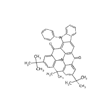 CC(C)(C)c1cc2c3c(c1)c(=O)c1cc4c5ccccc5n(-c5ccccc5)c4c4c(=O)c5cc(C(C)(C)C)cc(c5n3c14)C2(C)C